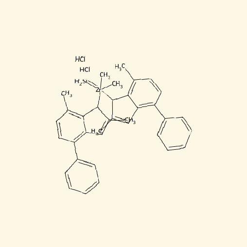 CC1=Cc2c(-c3ccccc3)ccc(C)c2[CH]1[Zr]([CH3])([CH3])(=[SiH2])[CH]1C(C)=Cc2c(-c3ccccc3)ccc(C)c21.Cl.Cl